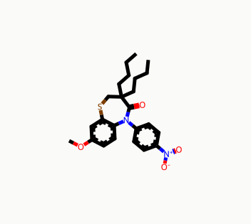 CCCCC1(CCCC)CSc2cc(OC)ccc2N(c2ccc([N+](=O)[O-])cc2)C1=O